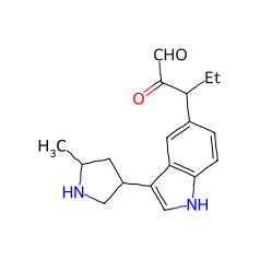 CCC(C(=O)C=O)c1ccc2[nH]cc(C3CNC(C)C3)c2c1